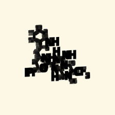 CC(C)CCC(Cc1c[nH]c2ccccc12)NC(=O)C(=N)NC(=N)N1CCN(C)C(C(F)(F)F)C1